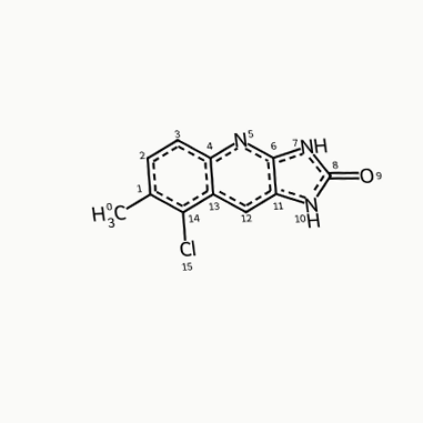 Cc1ccc2nc3[nH]c(=O)[nH]c3cc2c1Cl